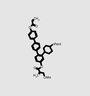 C=CC(=O)Oc1ccc(-c2ccc(-c3ccc(OC(=O)C(=C)COC)cc3C3CCC(CCCCC)CC3)cc2)cc1